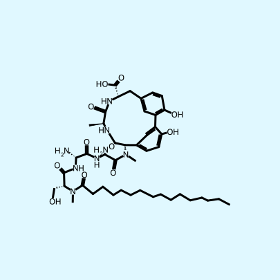 CCCCCCCCCCCCCCCC(=O)N(C)[C@H](CO)C(=O)N[C@H](N)C(=O)N[C@@H](N)C(=O)N(C)[C@@H]1C(=O)N[C@@H](C)C(=O)N[C@H](C(=O)O)Cc2ccc(O)c(c2)-c2cc1ccc2O